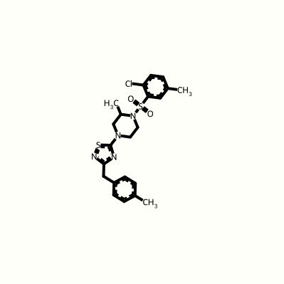 Cc1ccc(Cc2nsc(N3CCN(S(=O)(=O)c4cc(C)ccc4Cl)C(C)C3)n2)cc1